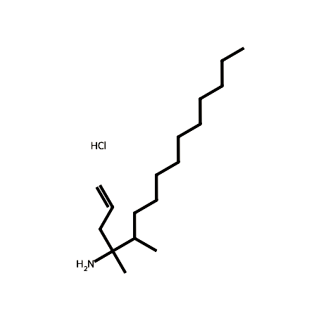 C=CCC(C)(N)C(C)CCCCCCCCCC.Cl